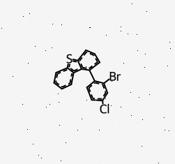 Clc1ccc(-c2cccc3sc4ccccc4c23)c(Br)c1